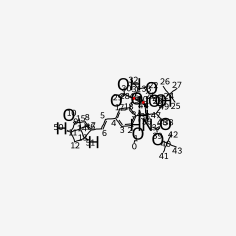 COc1cc(/C=C/C2=CC(=O)[C@H]3C[C@@H]2C3(C)C)cc([C@](NC(=O)OC(C)(C)C)(C(=O)O)C(C)C)c1[C@](NC(=O)OC(C)(C)C)(C(=O)O)C(C)C